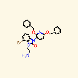 NCCn1c(=O)n(-c2ccc(OCc3ccccc3)nc2OCc2ccccc2)c2cccc(Br)c21